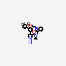 COCCCN1C=C(CN(C(=O)C2=C(c3cccc(-c4ccccc4)c3)CCNC2)C2CC2)C2C=CC=CC21